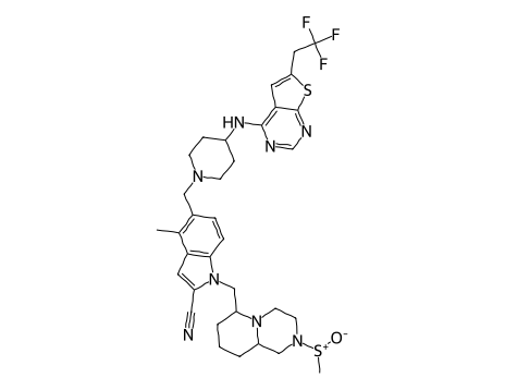 Cc1c(CN2CCC(Nc3ncnc4sc(CC(F)(F)F)cc34)CC2)ccc2c1cc(C#N)n2CC1CCCC2CN([S+](C)[O-])CCN21